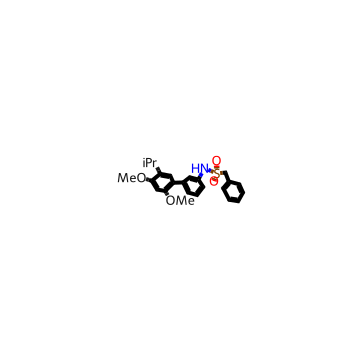 COc1cc(OC)c(C(C)C)cc1-c1cccc(NS(=O)(=O)Cc2ccccc2)c1